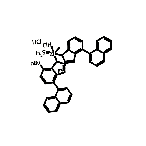 CCCCc1ccc(-c2cccc3ccccc23)c2c1[CH]([Zr]([CH3])([CH3])(=[SiH2])[CH]1C(C(C)C)=Cc3c(-c4cccc5ccccc45)cccc31)C(C)=C2.Cl.Cl